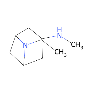 CCN1C2CC(NC)CC1C2